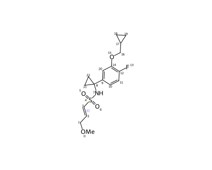 COC/C=C/S(=O)(=O)NC1(c2ccc(F)c(OCC3CC3)c2)CC1